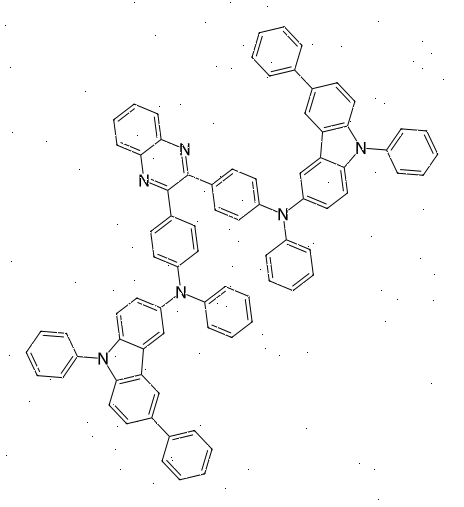 c1ccc(-c2ccc3c(c2)c2cc(N(c4ccccc4)c4ccc(-c5nc6ccccc6nc5-c5ccc(N(c6ccccc6)c6ccc7c(c6)c6cc(-c8ccccc8)ccc6n7-c6ccccc6)cc5)cc4)ccc2n3-c2ccccc2)cc1